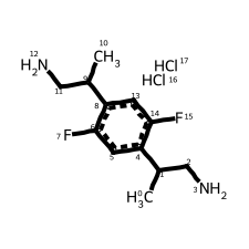 CC(CN)c1cc(F)c(C(C)CN)cc1F.Cl.Cl